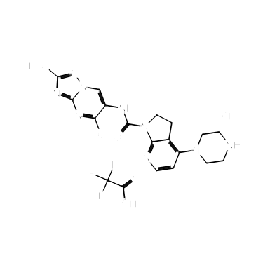 Cc1nc2nc(C)c(NC(=O)N3CCc4c(N5CCN[C@@H](C)C5)ccnc43)cn2n1.O=C(O)C(F)(F)F